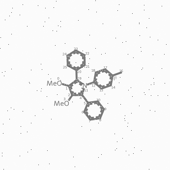 COc1c(OC)c(-c2ccccc2)n(-c2ccc(C)cc2)c1-c1ccccc1